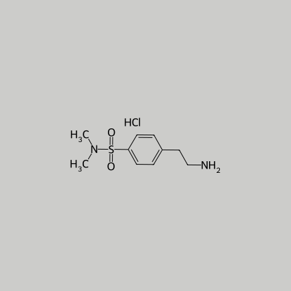 CN(C)S(=O)(=O)c1ccc(CCN)cc1.Cl